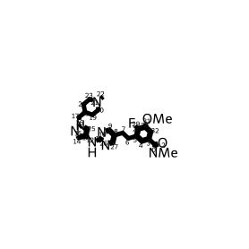 CNC(=O)c1cc(CCc2cnc(Nc3cnn(CC4CCN(C)CC4)c3)nc2)c(F)c(OC)c1